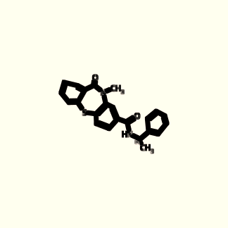 C[C@@H](NC(=O)c1ccc2c(c1)N(C)C(=O)c1ccccc1S2)c1ccccc1